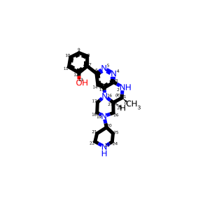 C[C@H]1Nc2nnc(-c3ccccc3O)cc2N2CCN(C3CCNCC3)C[C@H]12